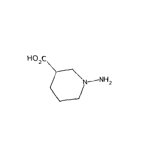 NN1CCCC(C(=O)O)C1